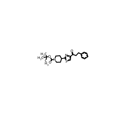 CC(C)(C)OC(=O)N1CCC(c2nc(C(=O)CCc3ccccc3)cs2)CC1